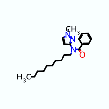 CCCCCCCCCCN(C(=O)c1ccccc1)c1ccn(C)n1